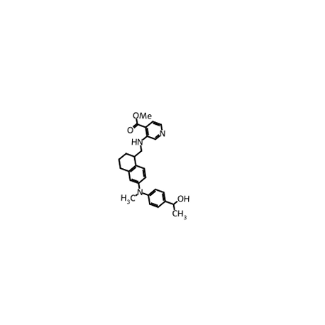 COC(=O)c1ccncc1NCC1CCCc2cc(N(C)c3ccc(C(C)O)cc3)ccc21